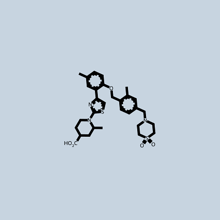 Cc1ccc(OCc2ccc(CN3CCS(=O)(=O)CC3)cc2C)c(-c2csc(N3CCC(C(=O)O)CC3C)n2)c1